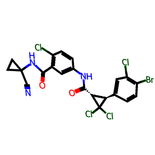 N#CC1(NC(=O)c2cc(NC(=O)[C@@H]3[C@@H](c4ccc(Br)c(Cl)c4)C3(Cl)Cl)ccc2Cl)CC1